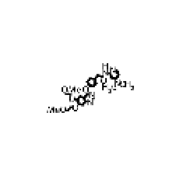 COCCOc1cc2ncnc(Oc3ccc(CC(=O)Nc4cc(N(C)C)ccn4)cc3)c2cc1OCCOC